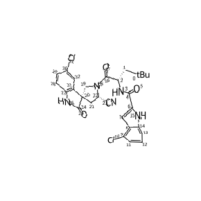 CC(C)(C)C[C@H](NC(=O)c1cc2c(Cl)cccc2[nH]1)C(=O)N1C[C@]2(C[C@H]1C#N)C(=O)Nc1ccc(Cl)cc12